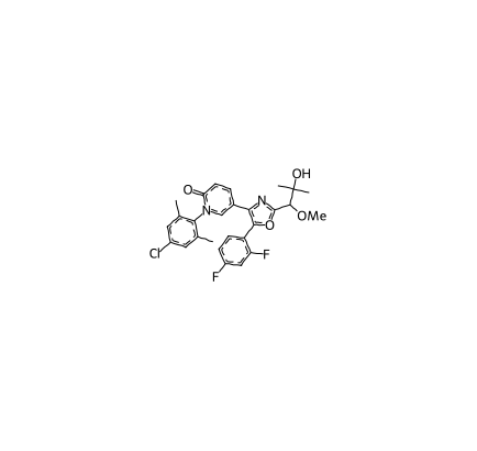 COC(c1nc(-c2ccc(=O)n(-c3c(C)cc(Cl)cc3C)c2)c(-c2ccc(F)cc2F)o1)C(C)(C)O